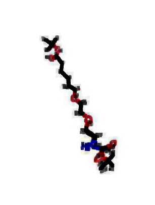 CC(C)(C)OC(=O)CCCCCOCCOCCNC(=O)OC(C)(C)C